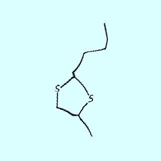 CCCC1SCC(C)S1